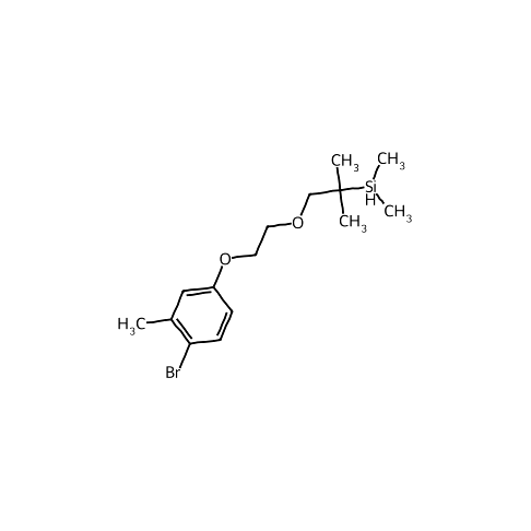 Cc1cc(OCCOCC(C)(C)[SiH](C)C)ccc1Br